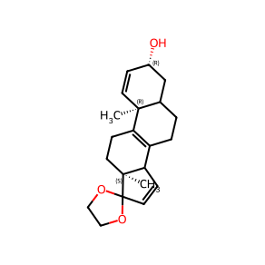 C[C@]12CCC3=C(CCC4C[C@@H](O)C=C[C@]34C)C1C=CC21OCCO1